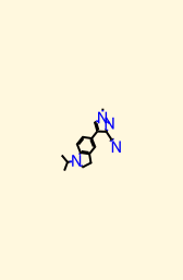 CC(C)N1CCc2cc(-c3cn(C)nc3C#N)ccc21